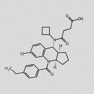 CCc1ccc(C(=O)N2c3cc(Cl)ccc3[C@H](N(C(=O)CCC(=O)O)C3CCC3)[C@H]3CCC[C@H]32)cc1